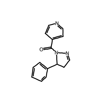 O=C(c1ccncc1)N1N=CCC1c1ccccc1